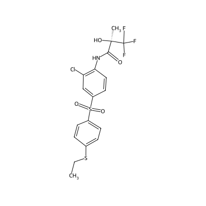 CCSc1ccc(S(=O)(=O)c2ccc(NC(=O)[C@@](C)(O)C(F)(F)F)c(Cl)c2)cc1